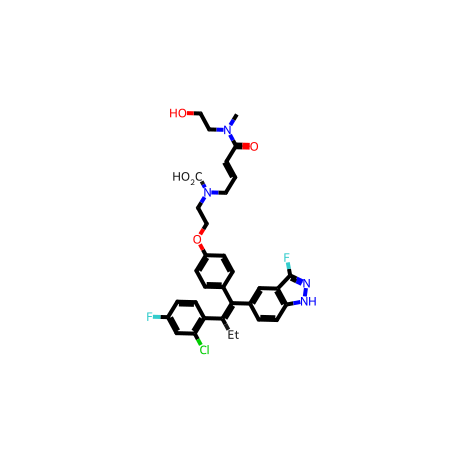 CC/C(=C(/c1ccc(OCCN(C/C=C/C(=O)N(C)CCO)C(=O)O)cc1)c1ccc2[nH]nc(F)c2c1)c1ccc(F)cc1Cl